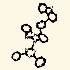 c1ccc(-c2nc(-c3ccccc3)nc(-n3c4cccc(-c5cccc(-c6cccc7oc8ccccc8c67)c5)c4n4c5ccccc5nc34)n2)cc1